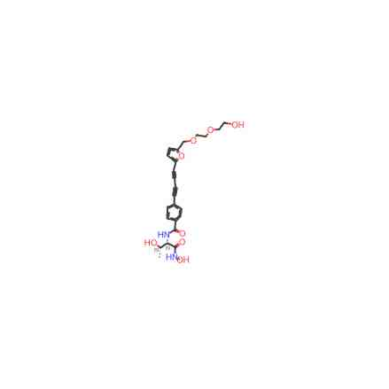 C[C@H](O)[C@H](NC(=O)c1ccc(C#CC#Cc2ccc(COCCOCCO)o2)cc1)C(=O)NO